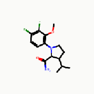 COc1c(N2CCC(C(C)C)C2C(N)=O)ccc(F)c1F